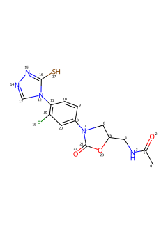 CC(=O)NCC1CN(c2ccc(-n3cnnc3S)c(F)c2)C(=O)O1